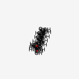 CC(=O)N[C@@H]1C(O[C@@H]2O[C@H](CO)[C@H](O)[C@H](O[C@]3(C(=O)O)C[C@H](O)[C@@H](NC(C)=O)C([C@H](O)[C@H](O)CO)O3)[C@H]2O)[C@H](O)[C@@H](CO)O[C@H]1OC1[C@@H](O)[C@H](O[C@@H]([C@H](O)[C@@H](O)C=O)[C@H](O)CO)O[C@H](CO)[C@@H]1O